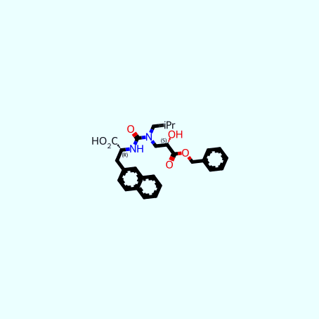 CC(C)CN(C[C@H](O)C(=O)OCc1ccccc1)C(=O)N[C@H](Cc1ccc2ccccc2c1)C(=O)O